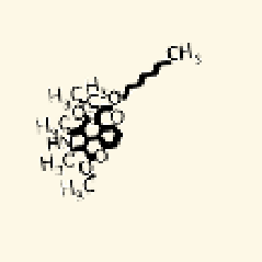 CCCCCCCCOC(=O)/C(C)=C\c1ccccc1C1C(C(=O)OCC)=C(C)NC(C)=C1C(=O)OCC